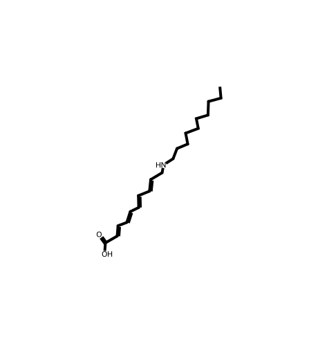 CCCCCCCCCCNCC=CC=CC=CC=CC(=O)O